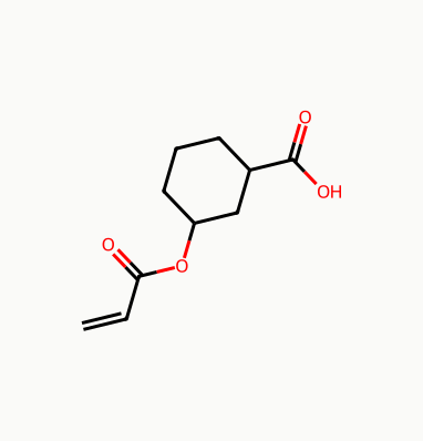 C=CC(=O)OC1CCCC(C(=O)O)C1